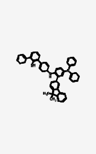 CC1(C)c2ccccc2-c2cc(-c3cc(N(C4=CC=CCC4)c4ccccc4)ccc3NC3C=CC(c4cccc(C5=CC=CCC5)c4S)=CC3)ccc21